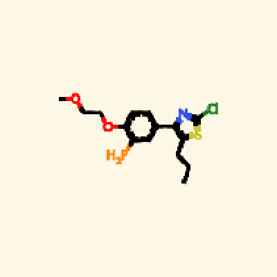 CCCc1sc(Cl)nc1-c1ccc(OCCOC)c(P)c1